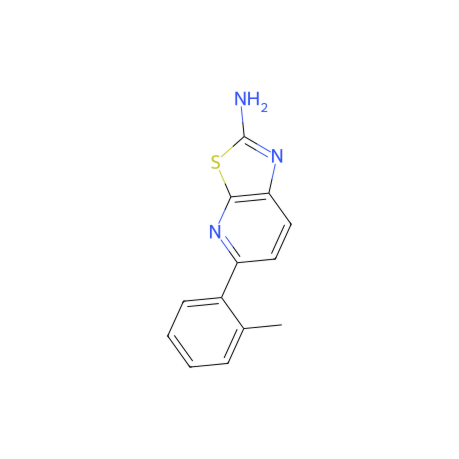 Cc1ccccc1-c1ccc2nc(N)sc2n1